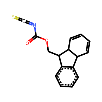 O=C(N=C=S)OCC1c2ccccc2C2C=CC=CC21